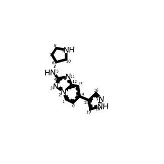 c1cn2nc(N[C@@H]3CCNC3)nc2cc1-c1cn[nH]c1